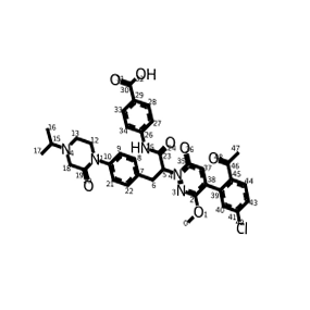 COc1nn(C(Cc2ccc(N3CCN(C(C)C)CC3=O)cc2)C(=O)Nc2ccc(C(=O)O)cc2)c(=O)cc1-c1cc(Cl)ccc1C(C)=O